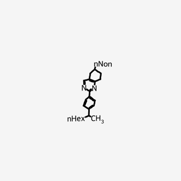 CCCCCCCCCC1CCc2nc(-c3ccc(C(C)CCCCCC)cc3)ncc2C1